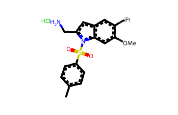 COc1cc2c(cc1C(C)C)cc(CN)n2S(=O)(=O)c1ccc(C)cc1.Cl